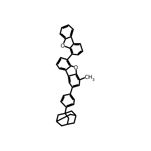 Cc1cc(-c2ccc(C34CC5CC(CC(C5)C3)C4)cc2)cc2c1oc1c(-c3cccc4c3oc3ccccc34)cccc12